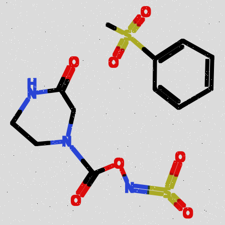 CS(=O)(=O)c1ccccc1.O=C1CN(C(=O)ON=S(=O)=O)CCN1